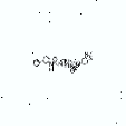 Cc1nc2cc(OCC(CN3CCN(CC(=O)Nc4cccc(-c5ccccc5)c4)CC3)NS(C)(=O)=O)ccc2s1